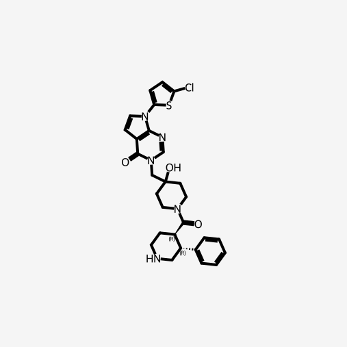 O=C([C@@H]1CCNC[C@H]1c1ccccc1)N1CCC(O)(Cn2cnc3c(ccn3-c3ccc(Cl)s3)c2=O)CC1